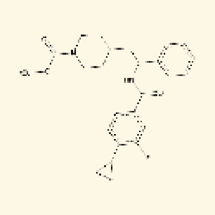 CC(C)(C)OC(=O)N1CCC(CC(NC(=O)c2ccc(C3CC3)c(F)c2)c2ccccc2)CC1